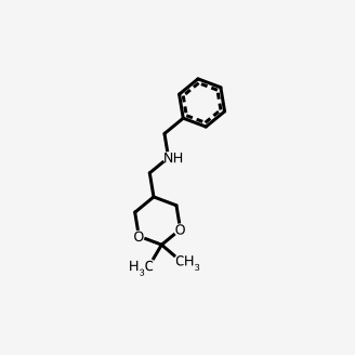 CC1(C)OCC(CNCc2ccccc2)CO1